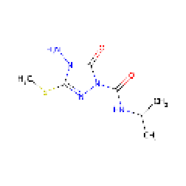 CSc1nn(C(=O)NC(C)C)c(=O)n1N